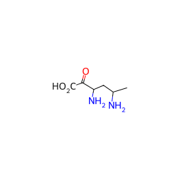 CC(N)CC(N)C(=O)C(=O)O